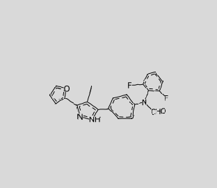 Cc1c(-c2ccco2)n[nH]c1-c1ccc(N(C=O)c2c(F)cccc2F)cc1